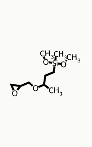 CO[Si](C)(CCC(C)OCC1CO1)OC